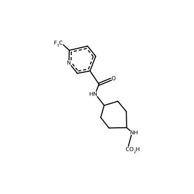 O=C(O)NC1CCC(NC(=O)c2ccc(C(F)(F)F)nc2)CC1